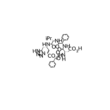 CCOC(=O)/C=C/[C@H](Cc1nnn[nH]1)NC(=O)[C@@H](NC(=O)[C@@H](NC(=O)[C@H](CC(=O)O)NC(=O)OCc1ccccc1)c1ccccc1)C(C)C